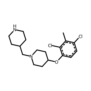 Cc1c(Cl)ccc(OC2CCN(CC3CCNCC3)CC2)c1Cl